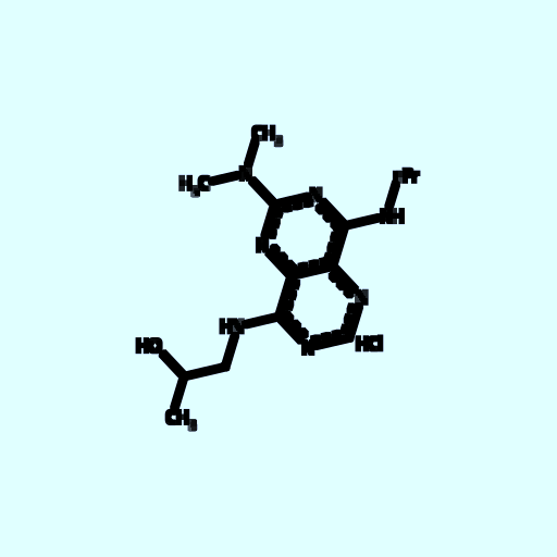 CCCNc1nc(N(C)C)nc2c(NCC(C)O)ncnc12.Cl